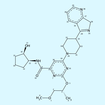 COC[C@@H](C)Oc1nc(C(=O)N[C@H]2CCC[C@H]2O)cc(N2CCC(C3=NCc4ncccc43)CC2)n1